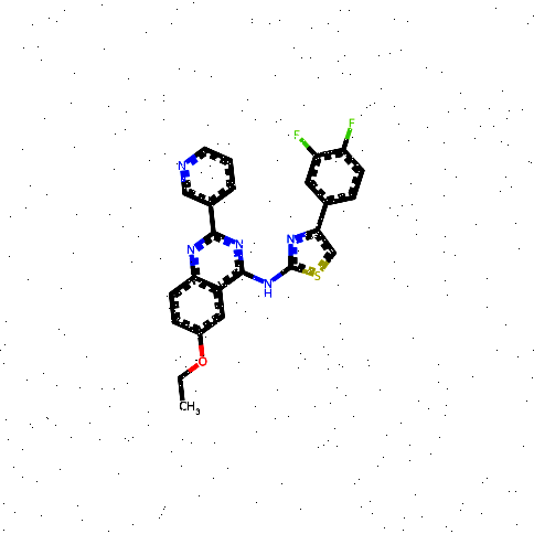 CCOc1ccc2nc(-c3cccnc3)nc(Nc3nc(-c4ccc(F)c(F)c4)cs3)c2c1